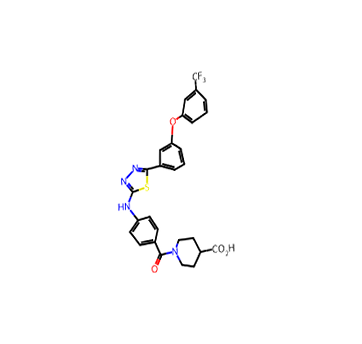 O=C(O)C1CCN(C(=O)c2ccc(Nc3nnc(-c4cccc(Oc5cccc(C(F)(F)F)c5)c4)s3)cc2)CC1